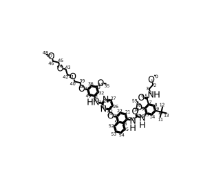 COCCNC(=O)c1cc(C(C)(C)C)cc(NC(=O)Nc2ccc(Oc3ccnc(Nc4cc(OC)cc(OCCOCCOCCOC)c4)n3)c3ccccc23)c1OC